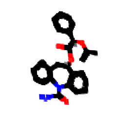 C=C(C)O[C@@H](C(=O)O[C@H]1Cc2ccccc2N(C(N)=O)c2ccccc21)c1ccccc1